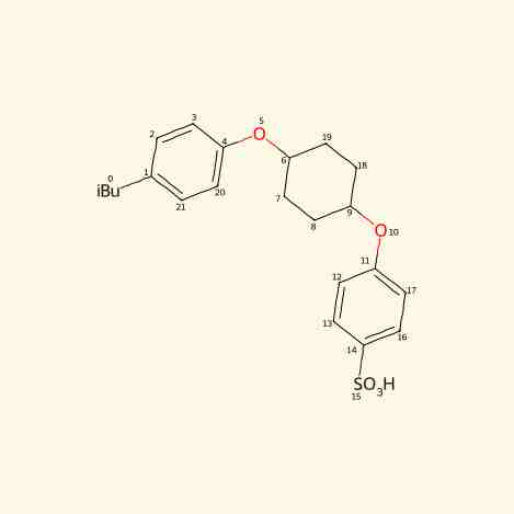 CCC(C)c1ccc(OC2CCC(Oc3ccc(S(=O)(=O)O)cc3)CC2)cc1